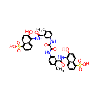 Cc1ccc(NC(=O)C(=O)Nc2ccc(C)c(C(=O)Nc3c(O)ccc4c(S(=O)(=O)O)cccc34)c2)cc1C(=O)Nc1c(O)ccc2c(S(=O)(=O)O)cccc12